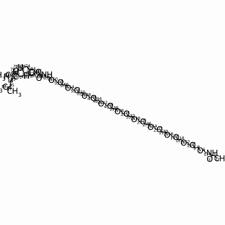 CCC(=O)NCCOCCOCCOCCOCCOCCOCCOCCOCCOCCOCCOCCOCCOCCOCCOCCOCCOCCOCCOCCNC(=O)O[C@H]1CC[C@@]2(C)C(=CC[C@H]3[C@@H]4CC[C@H]([C@H](C)CCCC(C)C)[C@@]4(C)CC[C@@H]32)C1